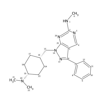 CNc1ncc2c(-c3ccccc3)nn(C[C@H]3CC[C@@H](N(C)C)CC3)c2n1